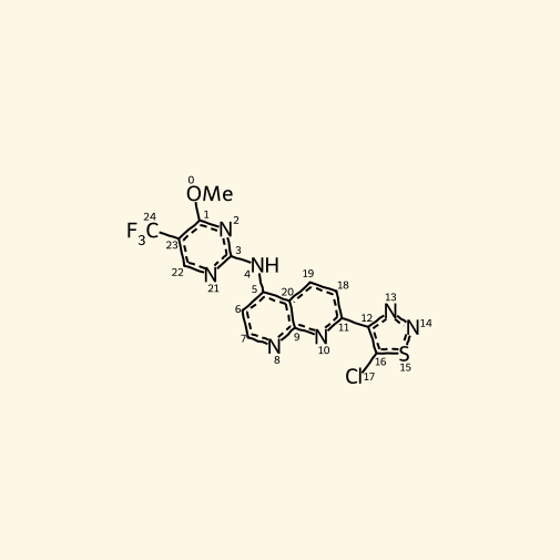 COc1nc(Nc2ccnc3nc(-c4nnsc4Cl)ccc23)ncc1C(F)(F)F